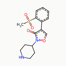 CS(=O)(=O)c1ccccc1-c1con(C2CCNCC2)c1=O